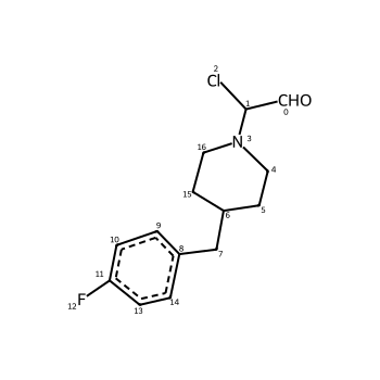 O=CC(Cl)N1CCC(Cc2ccc(F)cc2)CC1